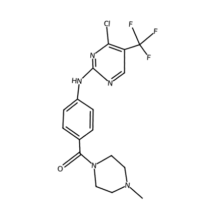 CN1CCN(C(=O)c2ccc(Nc3ncc(C(F)(F)F)c(Cl)n3)cc2)CC1